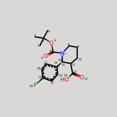 CC(C)(C)OC(=O)N1CCCC(C(=O)O)[C@H]1c1ccc(F)cc1